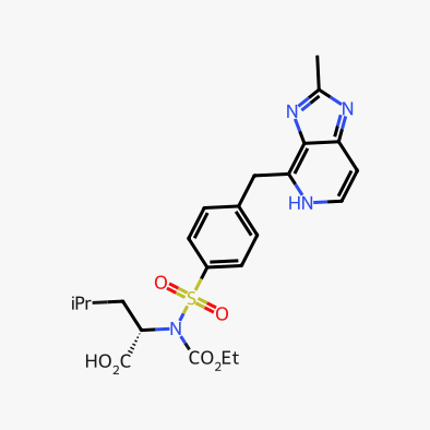 CCOC(=O)N([C@@H](CC(C)C)C(=O)O)S(=O)(=O)c1ccc(Cc2[nH]ccc3nc(C)nc2-3)cc1